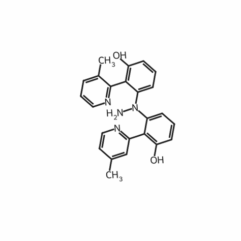 Cc1ccnc(-c2c(O)cccc2N(N)c2cccc(O)c2-c2ncccc2C)c1